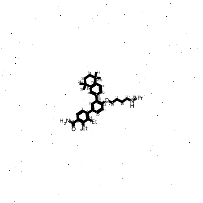 CCc1c(C(N)=O)ccc(-c2ccc(OCCCCNC(C)C)c(-c3ccc4c(c3)C(C)(C)CCC4(C)C)c2)c1CC